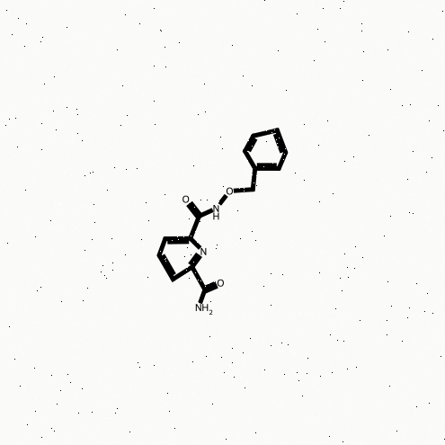 NC(=O)c1cccc(C(=O)NOCc2ccccc2)n1